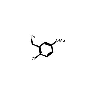 COc1ccc(Cl)c(C[C](C)C)c1